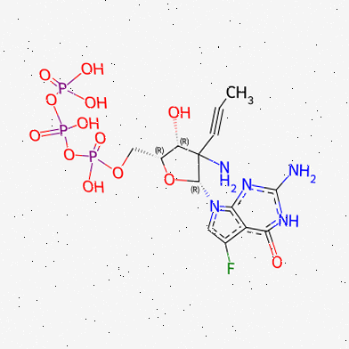 CC#CC1(N)[C@@H](O)[C@@H](COP(=O)(O)OP(=O)(O)OP(=O)(O)O)O[C@H]1n1cc(F)c2c(=O)[nH]c(N)nc21